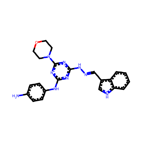 Nc1ccc(Nc2nc(N/N=C/c3c[nH]c4ccccc34)nc(N3CCOCC3)n2)cc1